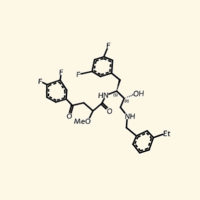 CCc1cccc(CNC[C@@H](O)[C@H](Cc2cc(F)cc(F)c2)NC(=O)C(CC(=O)c2ccc(F)c(F)c2)OC)c1